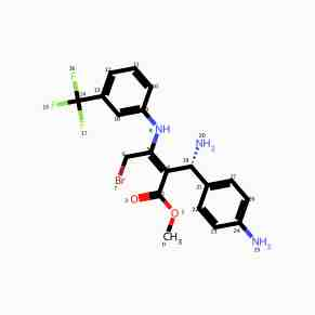 COC(=O)/C(=C(\CBr)Nc1cccc(C(F)(F)F)c1)[C@H](N)c1ccc(N)cc1